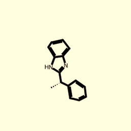 C[C@@H](c1ccccc1)c1nc2ccccc2[nH]1